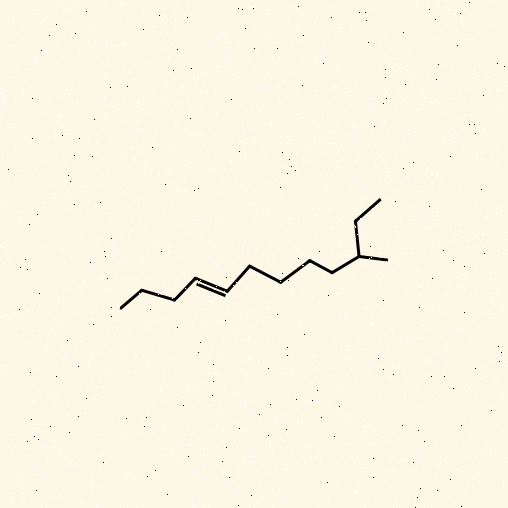 CCCC=CCCCCC(C)CC